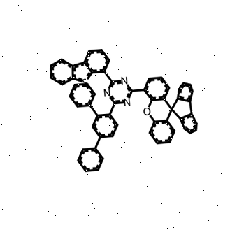 c1ccc(-c2ccc(-c3nc(-c4cccc5c4Oc4ccccc4C54c5ccccc5-c5ccccc54)nc(-c4cccc5c4sc4ccccc45)n3)c(-c3ccccc3)c2)cc1